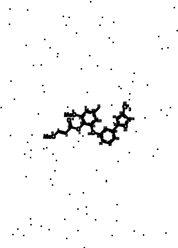 COC=CC(=O)Oc1c(OC)nc(C)nc1Oc1cccc(-c2cc(C(F)(F)F)no2)c1